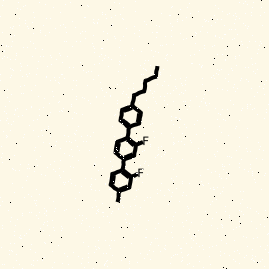 CCCCCc1ccc(-c2ccc(-c3ccc(C)cc3F)cc2F)cc1